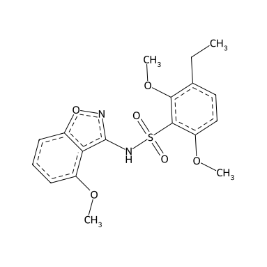 CCc1ccc(OC)c(S(=O)(=O)Nc2noc3cccc(OC)c23)c1OC